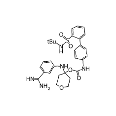 CC(C)(C)NS(=O)(=O)c1ccccc1-c1ccc(NC(=O)OC2(Nc3cccc(C(=N)N)c3)CCOCC2)cc1